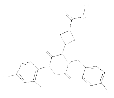 CNC(=O)N1CC(C2C(=O)N(c3ncc(Cl)cc3F)CC(=O)N2Cc2ccc(Cl)cc2)C1